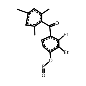 CCc1c(OP=O)ccc(C(=O)c2c(C)cc(C)cc2C)c1CC